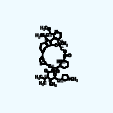 CCn1c(-c2cccnc2[C@H](C)OC)c2c3cc(ccc31)-c1csc(n1)C[C@H](NC(=O)[C@H](C(C)C)N(C)C(=O)O[C@H]1CCN(C)C1)C(=O)N1CCC[C@H](N1)C(=O)OCC(C)(C)C2